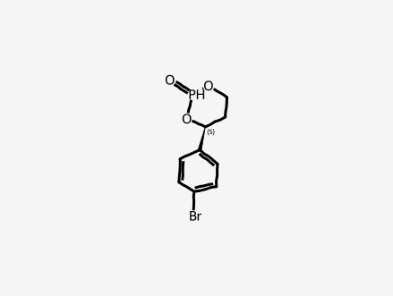 O=[PH]1OCC[C@@H](c2ccc(Br)cc2)O1